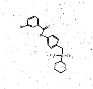 C[N+](C)(Cc1ccc(NC(=O)c2cccc(Br)c2)cc1)C1CCCCC1.[I-]